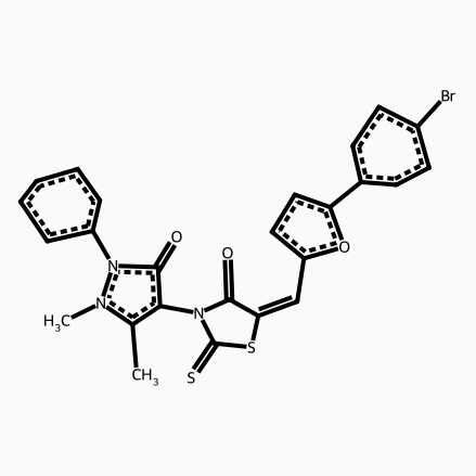 Cc1c(N2C(=O)/C(=C\c3ccc(-c4ccc(Br)cc4)o3)SC2=S)c(=O)n(-c2ccccc2)n1C